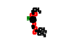 C=CC(=O)Oc1ccc(O/C=C\OC(=O)C(=C)C)cc1F